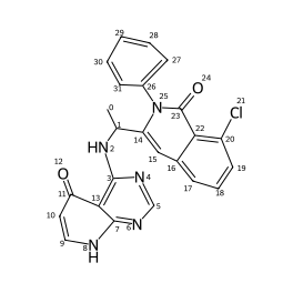 CC(Nc1ncnc2[nH]ccc(=O)c12)c1cc2cccc(Cl)c2c(=O)n1-c1ccccc1